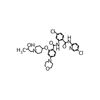 CC(O)CN1CCC(Oc2cc(N3CCOCC3)ccc2C(=O)Nc2cc(Cl)ccc2C(=O)Nc2ccc(Cl)cn2)CC1